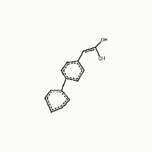 OC(O)=Cc1ccc(-c2ccccc2)cc1